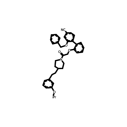 CC(C)Oc1cccc(CCC2CCN(C(=O)COc3ccccc3-c3ccc(C#N)cc3OCc3ccccc3)CC2)c1